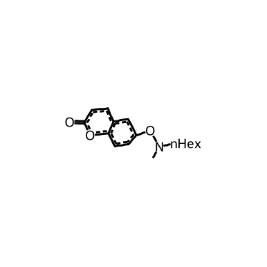 CCCCCCN(C)Oc1ccc2oc(=O)ccc2c1